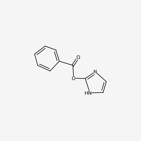 O=C(Oc1ncc[nH]1)c1ccccc1